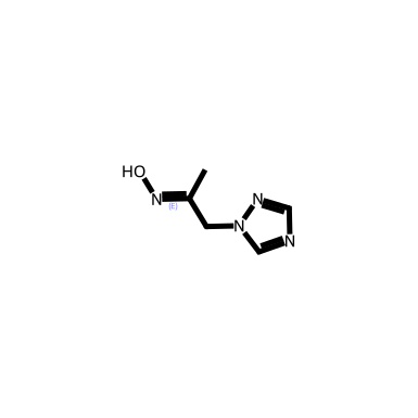 C/C(Cn1cncn1)=N\O